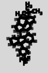 CC(C)(C)c1ccc2ccc3c(-c4c5ccccc5c(-c5ccc(C(F)(F)F)nc5)c5ccccc45)ccc4ccc1c2c43